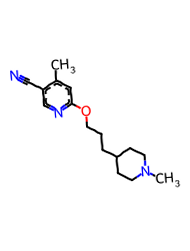 Cc1cc(OCCCC2CCN(C)CC2)ncc1C#N